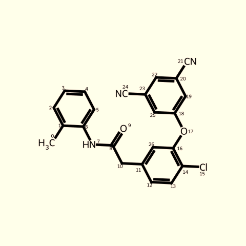 Cc1ccccc1NC(=O)Cc1ccc(Cl)c(Oc2cc(C#N)cc(C#N)c2)c1